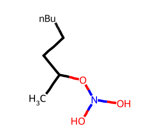 CCCCCCC(C)ON(O)O